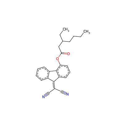 CCCCC(CC)CC(=O)Oc1cccc2c1-c1ccccc1C2=C(C#N)C#N